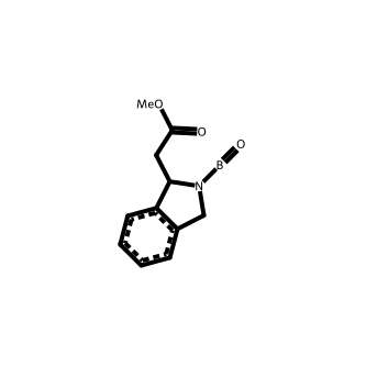 COC(=O)CC1c2ccccc2CN1B=O